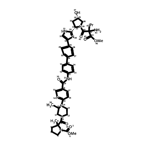 COC(=O)N1CCCC1(C)C(=O)N1CCN(c2ccc(C(=O)Nc3ccc(-c4ccc(-c5c[nH]c([C@@H]6C[C@H](O)CN6C(=O)C(N)(C(=O)OC)C(C)C)n5)cc4)cc3)cn2)C(C)C1